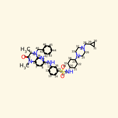 C[C@@H]1C(=O)N(C)c2ccc(Nc3cccc(S(=O)(=O)N[C@H]4CC[C@H](N5CCN(CC6CC6)CC5)CC4)c3)nc2N1Cc1ccccc1